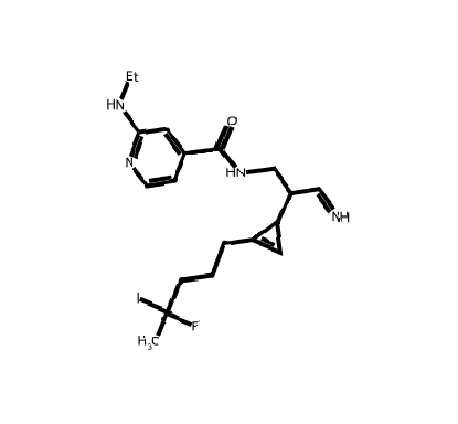 CCNc1cc(C(=O)NCC(C=N)C2C=C2CCCC(C)(F)I)ccn1